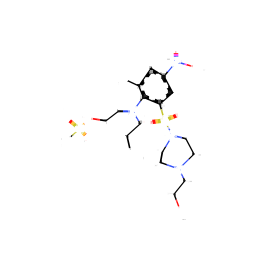 CCCN(CCOS(C)(=O)=O)c1c(C)cc([N+](=O)[O-])cc1S(=O)(=O)N1CCN(CCO)CC1